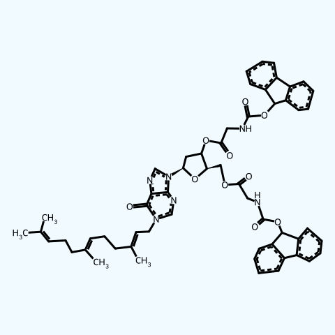 CC(C)=CCC/C(C)=C/CC/C(C)=C/Cn1cnc2c(ncn2[C@H]2CC(OC(=O)CNC(=O)OC3c4ccccc4-c4ccccc43)[C@@H](COC(=O)CNC(=O)OC3c4ccccc4-c4ccccc43)O2)c1=O